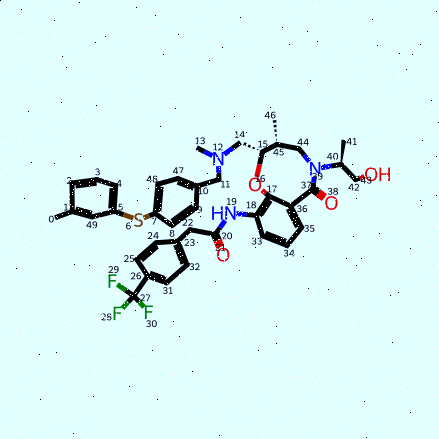 Cc1cccc(Sc2ccc(CN(C)C[C@H]3Oc4c(NC(=O)Cc5ccc(C(F)(F)F)cc5)cccc4C(=O)N([C@@H](C)CO)C[C@H]3C)cc2)c1